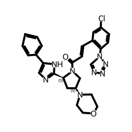 O=C(C=Cc1cc(Cl)ccc1-n1cnnn1)N1C[C@@H](N2CCOCC2)C[C@H]1c1ncc(-c2ccccc2)[nH]1